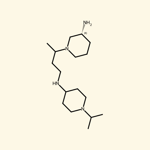 CC(C)N1CCC(NCCC(C)N2CCC[C@@H](N)C2)CC1